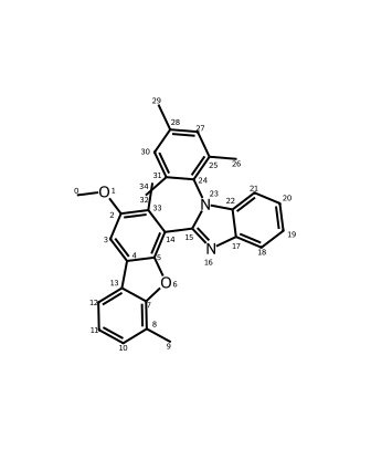 COc1cc2c(oc3c(C)cccc32)c(-c2nc3ccccc3n2-c2c(C)cc(C)cc2C)c1C